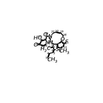 C=C(/C(=C\C=C/C)SC)[C@@H]1c2cccc(F)c2OC/C=C\CN2CN1n1ccc(=O)c(O)c1C2=O